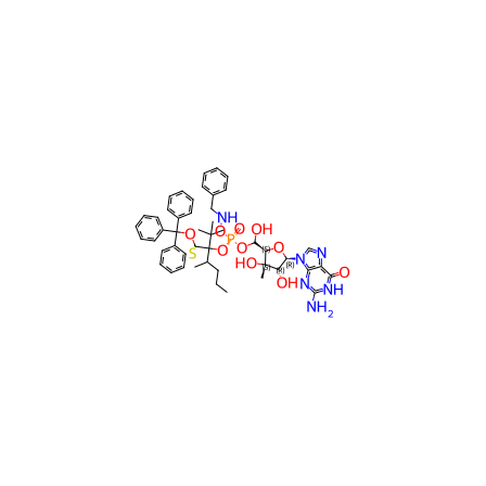 CCCC(C)C(OP(=O)(ONCc1ccccc1)OC(O)[C@H]1O[C@@H](n2cnc3c(=O)[nH]c(N)nc32)[C@H](O)[C@]1(C)O)(C(=S)OC(c1ccccc1)(c1ccccc1)c1ccccc1)C(C)(C)C